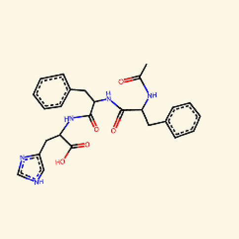 CC(=O)NC(Cc1ccccc1)C(=O)NC(Cc1ccccc1)C(=O)NC(Cc1c[nH]cn1)C(=O)O